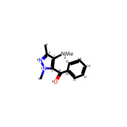 CNc1c(C)nn(C)c1C(=O)c1ccccc1